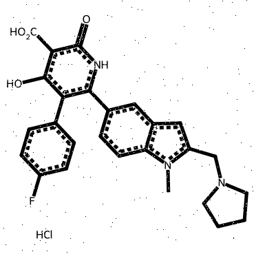 Cl.Cn1c(CN2CCCC2)cc2cc(-c3[nH]c(=O)c(C(=O)O)c(O)c3-c3ccc(F)cc3)ccc21